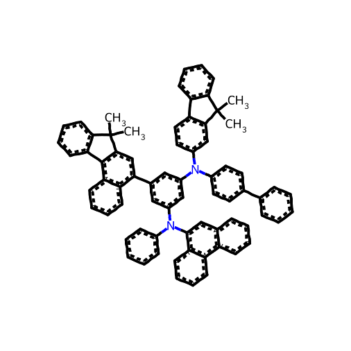 CC1(C)c2ccccc2-c2ccc(N(c3ccc(-c4ccccc4)cc3)c3cc(-c4cc5c(c6ccccc46)-c4ccccc4C5(C)C)cc(N(c4ccccc4)c4cc5ccccc5c5ccccc45)c3)cc21